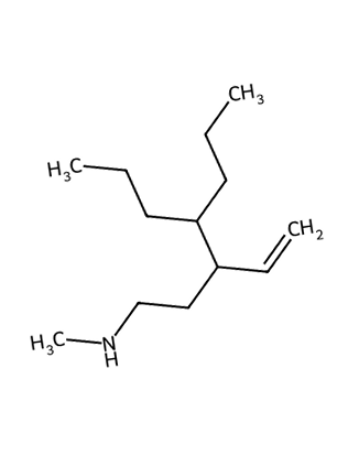 C=CC(CCNC)C(CCC)CCC